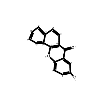 O=c1c2cc(Cl)ccc2oc2c1ccc1ccccc12